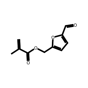 C=C(C)C(=O)OCc1ccc(C=O)o1